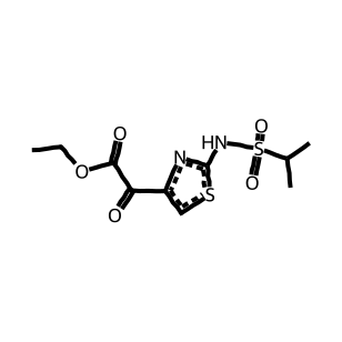 CCOC(=O)C(=O)c1csc(NS(=O)(=O)C(C)C)n1